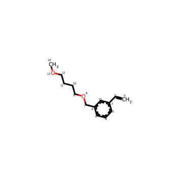 C=Cc1cccc(COCCCCOC)c1